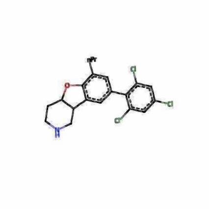 CCCc1cc(-c2c(Cl)cc(Cl)cc2Cl)cc2c1OC1CCNCC21